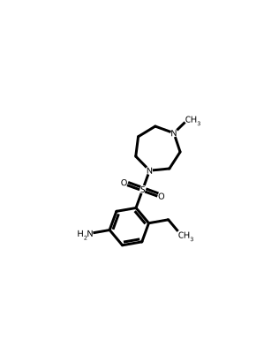 CCc1ccc(N)cc1S(=O)(=O)N1CCCN(C)CC1